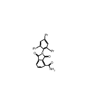 CC(C)c1cc(C(C)C)c(N2C(=O)c3cccc(C(N)=O)c3C2=O)c(C(C)C)c1